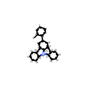 Cc1ccccc1-c1cc2c3ccccc3n3c4ccccc4c(c1)c23